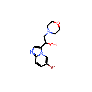 OC(CN1CCOCC1)c1cnc2ccc(Br)cn12